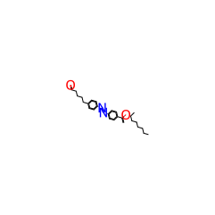 C=C(OC(C)CCCCCC)c1ccc(/N=N/c2ccc(CCCCC=O)cc2)cc1